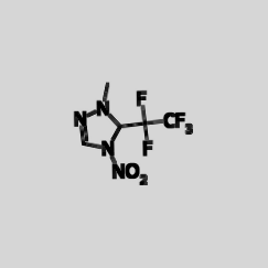 CN1N=CN([N+](=O)[O-])C1C(F)(F)C(F)(F)F